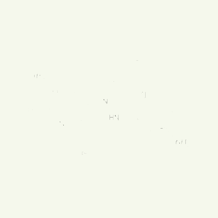 CC(C)CC(NC(=O)OC(C)(C)C)C(=O)N(NCCC(N)=O)C(=O)C(F)Cl